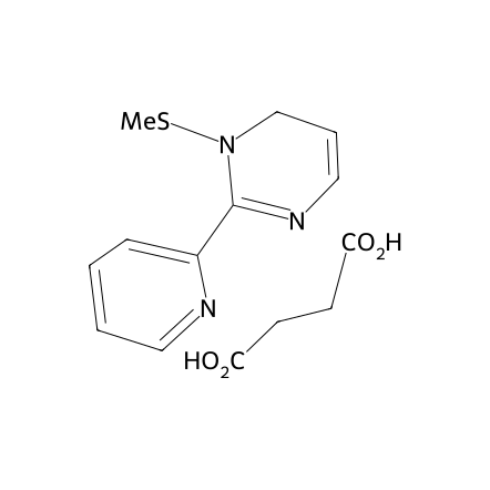 CSN1CC=CN=C1c1ccccn1.O=C(O)CCC(=O)O